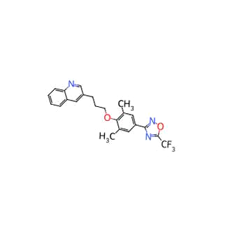 Cc1cc(-c2noc(C(F)(F)F)n2)cc(C)c1OCCCc1cnc2ccccc2c1